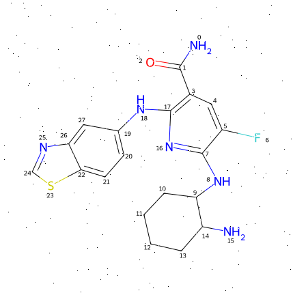 NC(=O)c1cc(F)c(NC2CCCCC2N)nc1Nc1ccc2scnc2c1